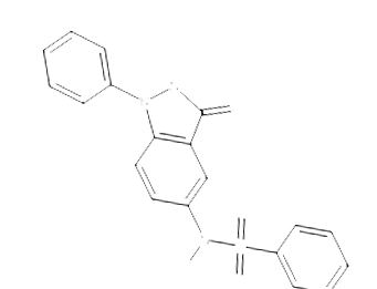 O=c1[nH]n(-c2ccccc2)c2ccc(N(F)S(=O)(=O)c3ccccc3)cc12